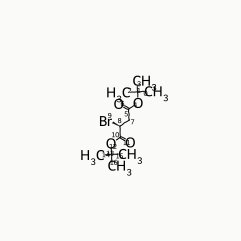 CC(C)(C)OC(=O)C[C@H](Br)C(=O)OC(C)(C)C